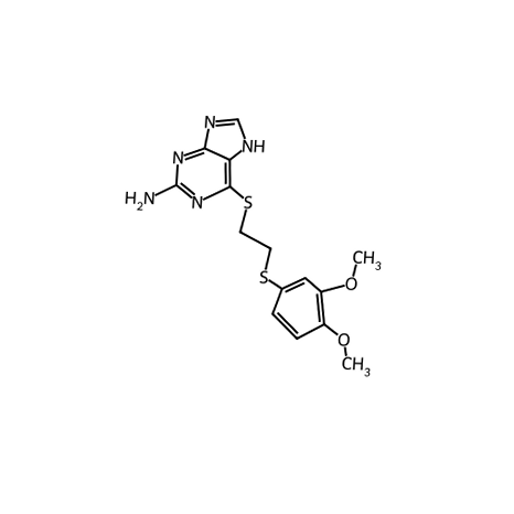 COc1ccc(SCCSc2nc(N)nc3nc[nH]c23)cc1OC